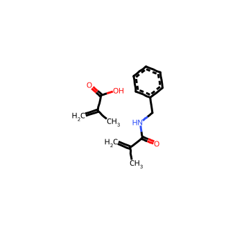 C=C(C)C(=O)NCc1ccccc1.C=C(C)C(=O)O